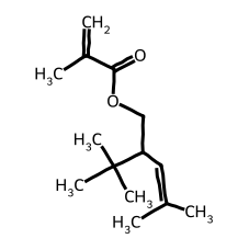 C=C(C)C(=O)OCC(C=C(C)C)C(C)(C)C